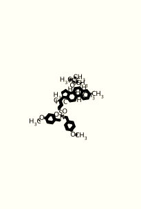 CC[C@H]1[C@@H](O[Si](C)(C)C)[C@@H]2[C@H](CC[C@]3(C)[C@@H]([C@H](C)/C=C/S(=O)(=O)N(Cc4ccc(OC)cc4)Cc4ccc(OC)cc4)CC[C@@H]23)[C@@]2(C)CC[C@@H](C)C[C@@H]12